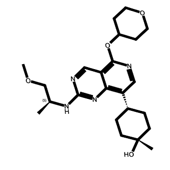 COC[C@H](C)Nc1ncc2c(OC3CCOCC3)ncc([C@H]3CC[C@@](C)(O)CC3)c2n1